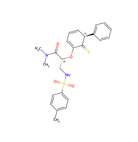 Cc1ccc(S(=O)(=O)NC[C@@H](OC2=CC=C[C@@H](c3ccccc3)C2=S)C(=O)N(C)C)cc1